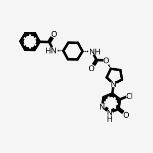 O=C(N[C@H]1CC[C@@H](NC(=O)c2ccccc2)CC1)O[C@@H]1CCN(c2cn[nH]c(=O)c2Cl)C1